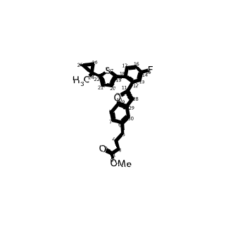 COC(=O)CCCc1ccc2oc(-c3cc(F)ccc3-c3ccc(C4(C)CC4)s3)cc2c1